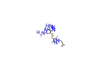 Cc1nn(CC2CC2)c(C)c1CSc1cc(N)nc2[nH]nnc12